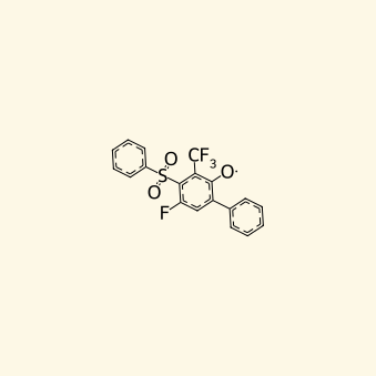 [O]c1c(-c2ccccc2)cc(F)c(S(=O)(=O)c2ccccc2)c1C(F)(F)F